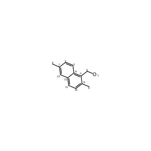 Cc1ccc2c(C[O])c(C)ccc2c1